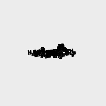 CCC(C)(OC(C)CC(C)(CC)C(C)(C)OCCOC(=O)c1ccc(N(C)C)cc1)C(C)CCO[C@@](C)(CC)C(=O)c1ccc(N(C)C)cc1